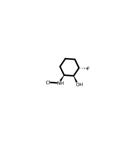 O[C@H]1[C@@H](NCl)CCC[C@@H]1F